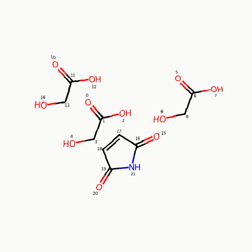 O=C(O)CO.O=C(O)CO.O=C(O)CO.O=C1C=CC(=O)N1